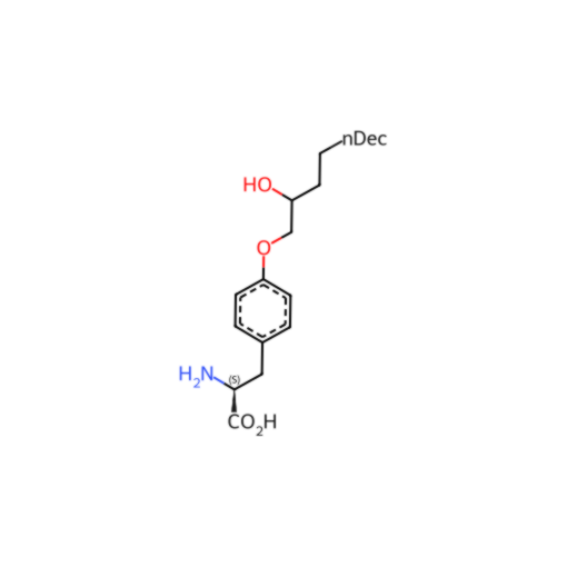 CCCCCCCCCCCCC(O)COc1ccc(C[C@H](N)C(=O)O)cc1